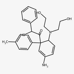 Cc1ccc(C2(C(=O)C(O)c3ccccc3)C=C(N)C=CC2N(CCO)CCO)cc1